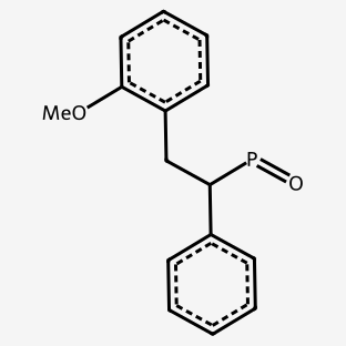 COc1ccccc1CC(P=O)c1ccccc1